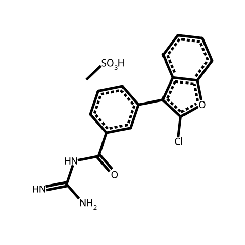 CS(=O)(=O)O.N=C(N)NC(=O)c1cccc(-c2c(Cl)oc3ccccc23)c1